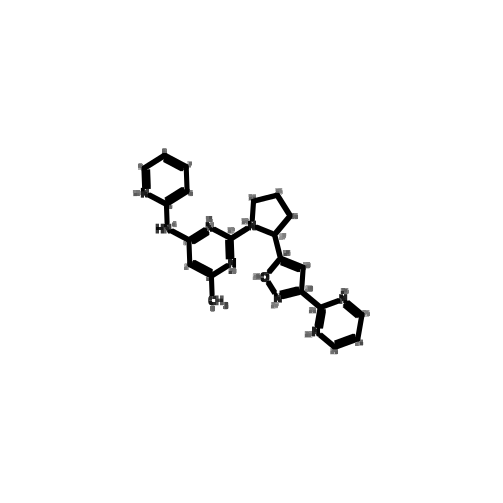 Cc1cc(Nc2ccccn2)nc(N2CCCC2c2cc(-c3ncccn3)no2)n1